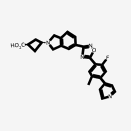 Cc1cc(-c2nc(-c3ccc4c(c3)CN([C@H]3C[C@H](C(=O)O)C3)C4)no2)c(F)cc1-c1ccncc1